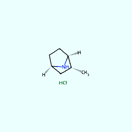 C[C@@H]1C[C@H]2CC[C@@H]1N2.Cl